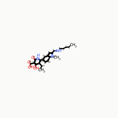 CCCCCNCc1cc2cc(-c3[nH]c(=O)c(C(=O)O)c(O)c3CC)ccc2n1C